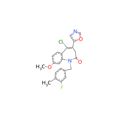 COc1ccc2c(c1)N(Cc1ccc(C)c(F)c1)C(=O)CC(c1cnco1)=C2Cl